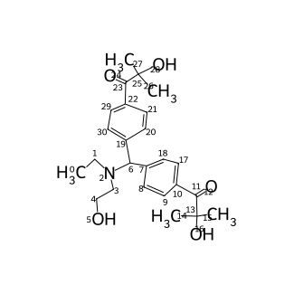 CCN(CCO)C(c1ccc(C(=O)C(C)(C)O)cc1)c1ccc(C(=O)C(C)(C)O)cc1